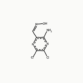 Nc1nc(Cl)c(Cl)nc1/C=N\O